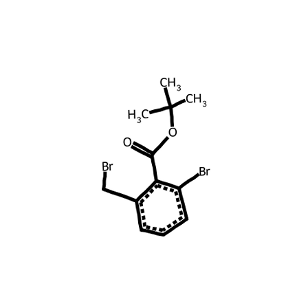 CC(C)(C)OC(=O)c1c(Br)cccc1CBr